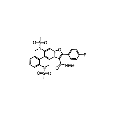 CNC(=O)c1c(-c2ccc(F)cc2)oc2cc(N(C)S(C)(=O)=O)c(-c3ccccc3N(C)S(C)(=O)=O)cc12